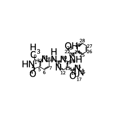 CC1NC(=O)c2ccc(Nc3ncc(-c4nnco4)c(N[C@H](CO)c4ccccc4)n3)nc21